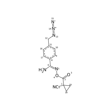 N#CC1(C(=O)ON=C(N)c2ccc(CN=[N+]=[N-])cc2)CC1